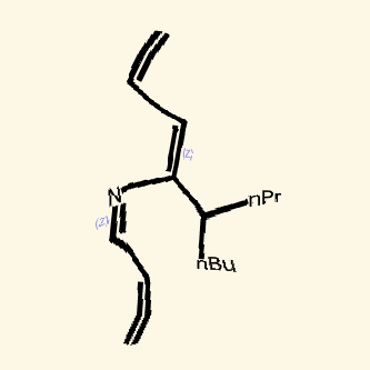 C=C/C=N\C(=C/C=C)C(CCC)CCCC